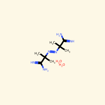 CC(C)(N=NC(C)(C)C(=N)N)C(=N)N.O.O